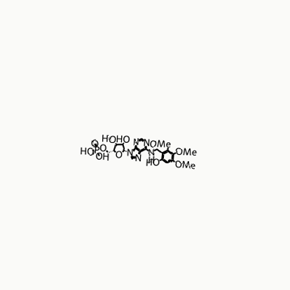 COc1cc(O)c(CNc2ncnc3c2ncn3[C@@H]2O[C@H](COP(=O)(O)O)[C@@H](O)[C@H]2O)c(OC)c1OC